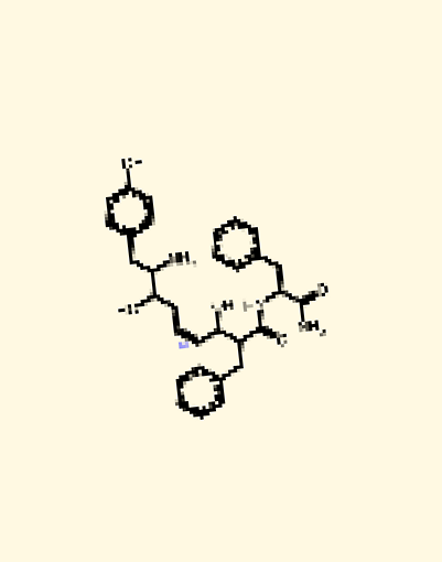 NC(=O)C(Cc1ccccc1)NC(=O)C(Cc1ccccc1)C(O)/C=C\CC(O)C(N)Cc1ccc(O)cc1